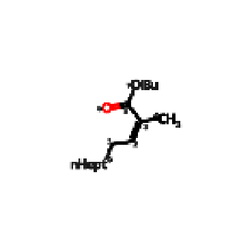 CCCCCCCCC=C(C)C(=O)OCC(C)C